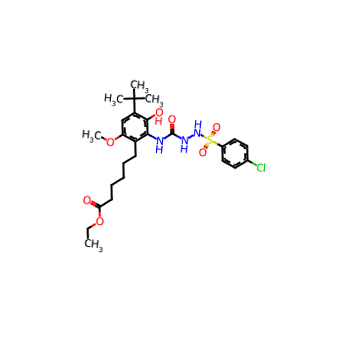 CCOC(=O)CCCCCc1c(OC)cc(C(C)(C)C)c(O)c1NC(=O)NNS(=O)(=O)c1ccc(Cl)cc1